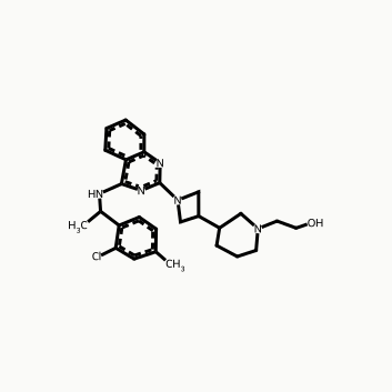 Cc1ccc(C(C)Nc2nc(N3CC(C4CCCN(CCO)C4)C3)nc3ccccc23)c(Cl)c1